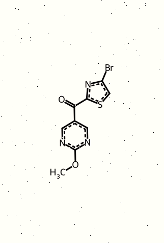 COc1ncc(C(=O)c2nc(Br)cs2)cn1